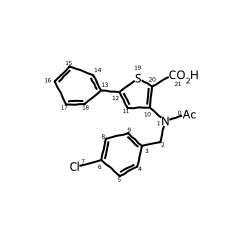 CC(=O)N(Cc1ccc(Cl)cc1)c1cc(-c2ccccc2)sc1C(=O)O